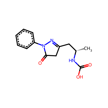 C[C@@H](CC1=NN(c2ccccc2)C(=O)C1)NC(=O)O